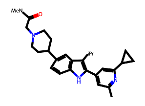 CNC(=O)CN1CCC(c2ccc3[nH]c(-c4cc(C)nc(C5CC5)c4)c(C(C)C)c3c2)CC1